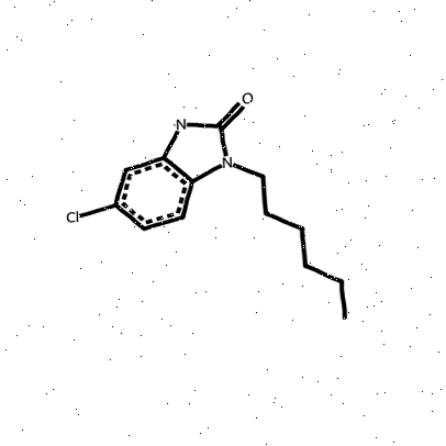 CCCCCCN1C(=O)[N]c2cc(Cl)ccc21